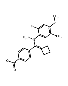 CCc1cc(F)c(N(C)C(=C2CCC2)c2ccc([N+](=O)[O-])cc2)cc1C